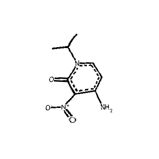 CC(C)n1ccc(N)c([N+](=O)[O-])c1=O